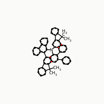 CC1(C)c2ccccc2-c2cc(-c3c(N(c4ccc5c(c4)-c4ccccc4C5(C)C)c4cccc(-c5ccccc5)c4-c4ccccc4)c4ccccc4c4ccccc34)ccc21